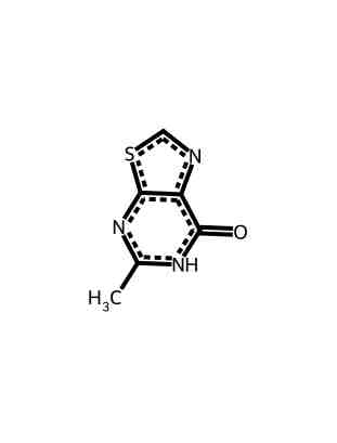 Cc1nc2scnc2c(=O)[nH]1